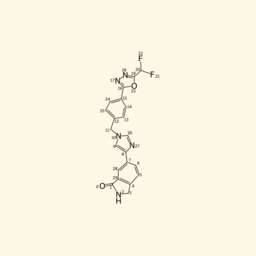 O=C1NCc2ccc(-c3cn(Cc4ccc(-c5nnc(C(F)F)o5)cc4)cn3)cc21